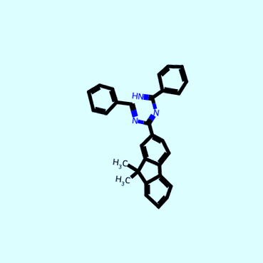 CC1(C)c2ccccc2-c2ccc(C(=N/C(=N)c3ccccc3)/N=C/c3ccccc3)cc21